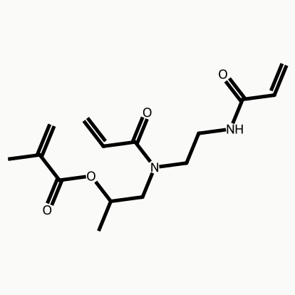 C=CC(=O)NCCN(CC(C)OC(=O)C(=C)C)C(=O)C=C